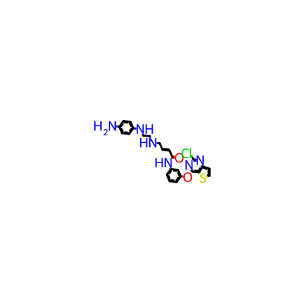 Nc1ccc(NCCNC/C=C/C(=O)Nc2cccc(Oc3nc(Cl)nc4ccsc34)c2)cc1